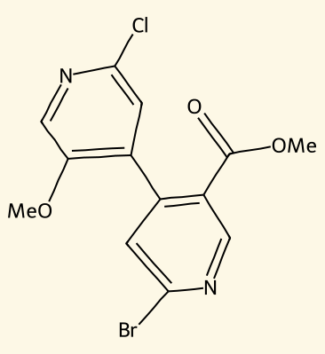 COC(=O)c1cnc(Br)cc1-c1cc(Cl)ncc1OC